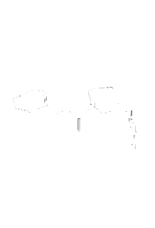 [N-]=[N+]=N[C@@H]1CN(C(=O)OCc2ccccc2)CC[C@@H]1F